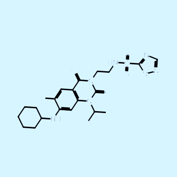 CC(C)n1c(=O)n(CCNS(=O)(=O)c2ncn[nH]2)c(=O)c2cc(F)c(NC3CCCCC3)cc21